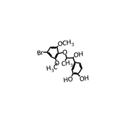 COc1cc(Br)cc(OC)c1OC(C)[C@@H](O)c1ccc(O)c(O)c1